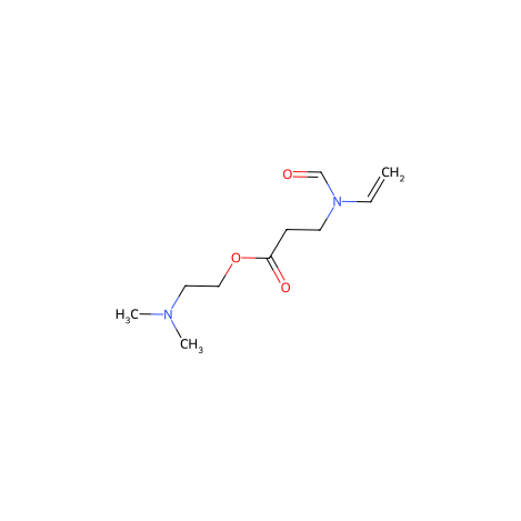 C=CN(C=O)CCC(=O)OCCN(C)C